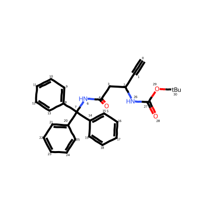 C#CC(CC(=O)NC(c1ccccc1)(c1ccccc1)c1ccccc1)NC(=O)OC(C)(C)C